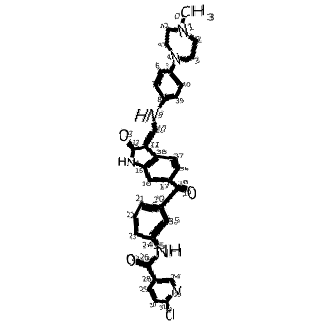 CN1CCN(c2ccc(NC=C3C(=O)Nc4cc(C(=O)c5cccc(NC(=O)c6ccc(Cl)nc6)c5)ccc43)cc2)CC1